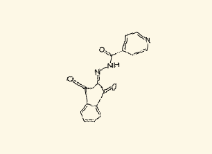 O=C(NN=c1c(=O)c2ccccc2c1=O)c1ccncc1